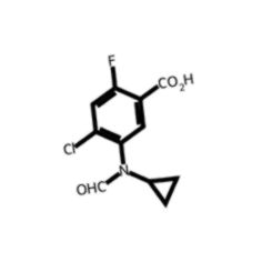 O=CN(c1cc(C(=O)O)c(F)cc1Cl)C1CC1